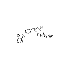 CSNC[C@@H]1[C@H]2CN(Cc3ccc([C@H]4COc5cccnc5O4)cc3)C[C@@H]12